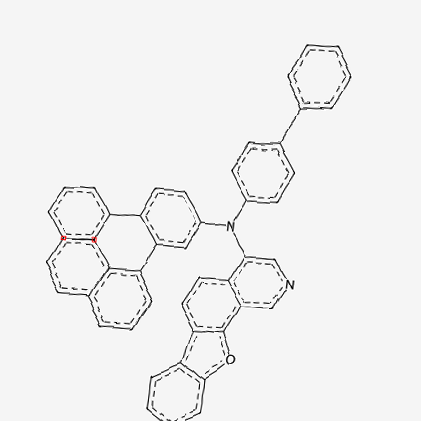 c1ccc(-c2ccc(N(c3ccc(-c4ccccc4)c(-c4cccc5ccccc45)c3)c3cncc4c3ccc3c5ccccc5oc43)cc2)cc1